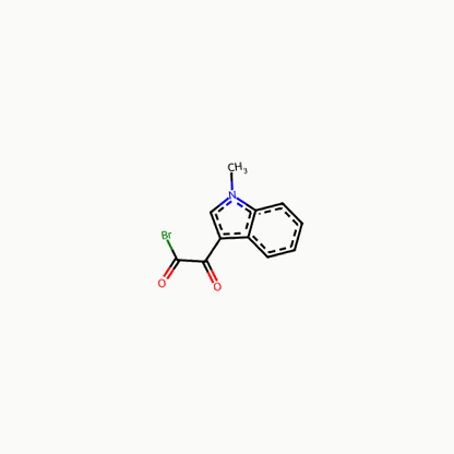 Cn1cc(C(=O)C(=O)Br)c2ccccc21